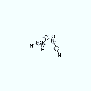 CC1=C(c2cc(C(=O)N3CC(c4ccc(C#N)cc4)C3)c(C)cc2C)NC(CCC#N)N1